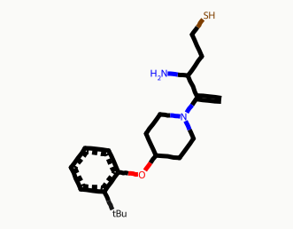 C=C(C(N)CCS)N1CCC(Oc2ccccc2C(C)(C)C)CC1